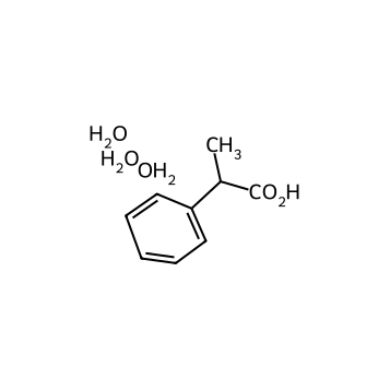 CC(C(=O)O)c1ccccc1.O.O.O